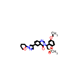 CCOc1cccc(C(CS(C)(=O)=O)n2cnc3ccc(-c4cnn(C5CCCCO5)c4)cc3c2=O)c1